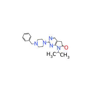 CC(C)N1C(=O)Cc2cnc(N3CCN(Cc4ccccc4)CC3)nc21